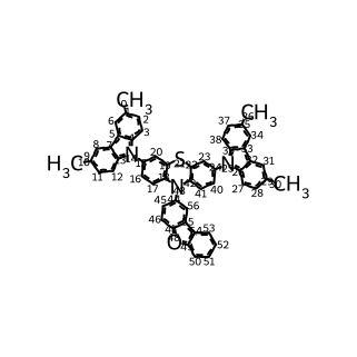 Cc1ccc2c(c1)c1cc(C)ccc1n2-c1ccc2c(c1)Sc1cc(-n3c4ccc(C)cc4c4cc(C)ccc43)ccc1N2c1ccc2oc3ccccc3c2c1